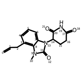 C=CCc1cccc2c1n(C)c(=O)n2C1CCC(=O)NC1=O